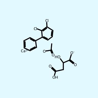 CC(=O)[O-].Clc1cccc(-c2ccccc2)c1Cl.O=C(O)CC(O)C(=O)[O-].[Ca+2]